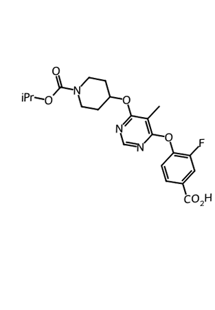 Cc1c(Oc2ccc(C(=O)O)cc2F)ncnc1OC1CCN(C(=O)OC(C)C)CC1